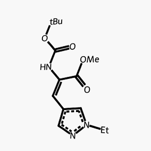 CCn1cc(/C=C(/NC(=O)OC(C)(C)C)C(=O)OC)cn1